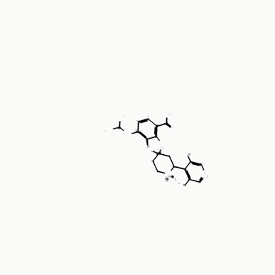 NC(=O)c1ccc(OC(F)F)c2c1OC1(CCS(=O)(=O)C(c3c(Cl)cncc3Cl)C1)O2